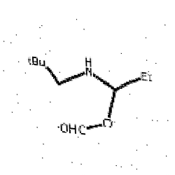 CCC(NCC(C)(C)C)O[C]=O